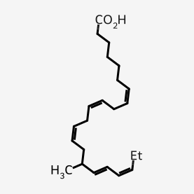 CC/C=C\C=C\C(C)C/C=C\C/C=C\C/C=C\CCCCCC(=O)O